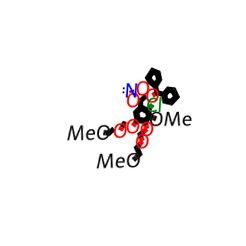 COCCOCOc1cc(C(O[N])C(=O)OC(c2ccccc2)c2ccccc2)c(Cl)c(OC)c1OCOCCOC